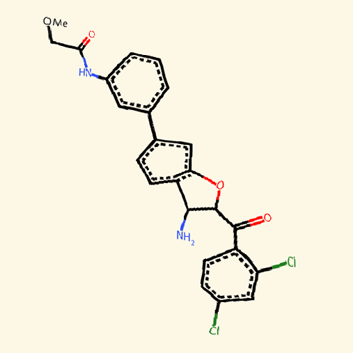 COCC(=O)Nc1cccc(-c2ccc3c(c2)OC(C(=O)c2ccc(Cl)cc2Cl)C3N)c1